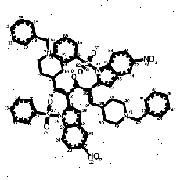 O=C(C(=CC1CCN(Cc2ccccc2)CC1)c1cc2cc([N+](=O)[O-])ccc2n1S(=O)(=O)c1ccccc1)C(=CC1CCN(Cc2ccccc2)CC1)c1cc2cc([N+](=O)[O-])ccc2n1S(=O)(=O)c1ccccc1